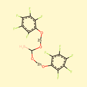 BC([O][Zn][O]c1c(F)c(F)c(F)c(F)c1F)[O][Zn][O]c1c(F)c(F)c(F)c(F)c1F